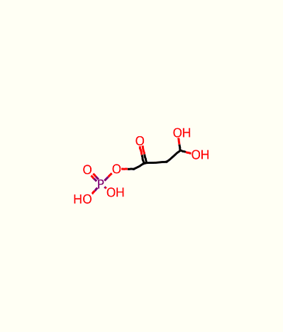 O=C(COP(=O)(O)O)CC(O)O